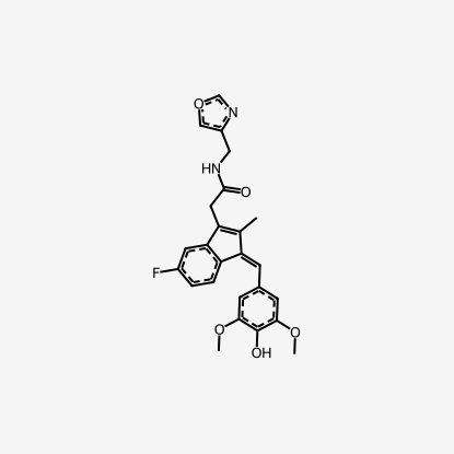 COc1cc(/C=C2/C(C)=C(CC(=O)NCc3cocn3)c3cc(F)ccc32)cc(OC)c1O